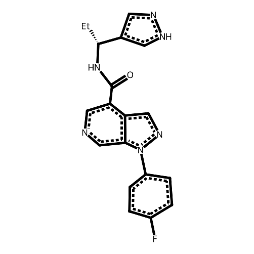 CC[C@@H](NC(=O)c1cncc2c1cnn2-c1ccc(F)cc1)c1cn[nH]c1